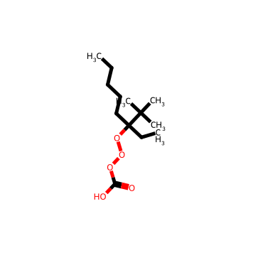 CCCCCC(CC)(OOOC(=O)O)C(C)(C)C